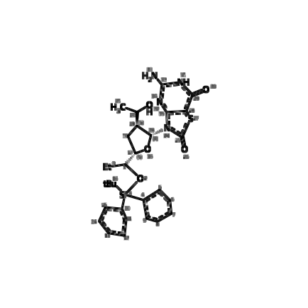 CCC(O[Si](c1ccccc1)(c1ccccc1)C(C)(C)C)[C@@H]1C[C@@H](C(C)O)[C@H](n2c(=O)sc3c(=O)[nH]c(N)nc32)O1